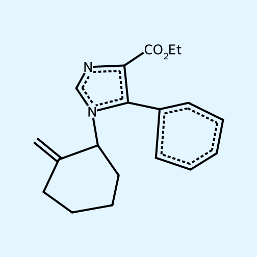 C=C1CCCCC1n1cnc(C(=O)OCC)c1-c1ccccc1